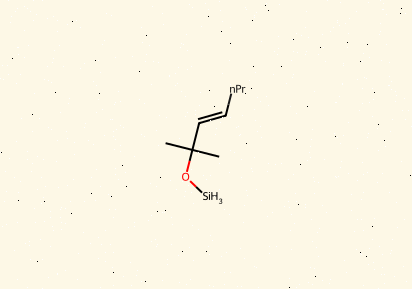 CCC/C=C/C(C)(C)O[SiH3]